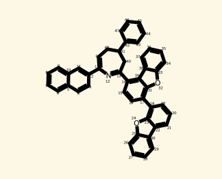 C1=C(c2ccc3ccccc3c2)N=C(c2ccc(-c3cccc4c3oc3ccccc34)c3oc4ccccc4c23)CC(c2ccccc2)C1